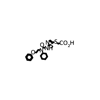 O=C(O)CSc1cnc(NC(=O)N(CCOc2ccccc2)C2CCCCC2)s1